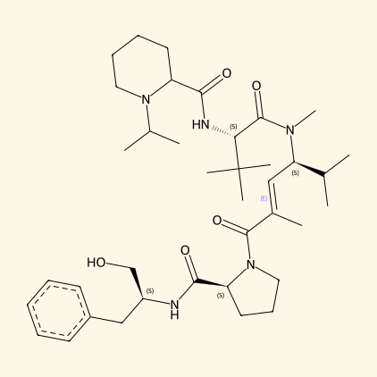 C/C(=C\[C@H](C(C)C)N(C)C(=O)[C@@H](NC(=O)C1CCCCN1C(C)C)C(C)(C)C)C(=O)N1CCC[C@H]1C(=O)N[C@H](CO)Cc1ccccc1